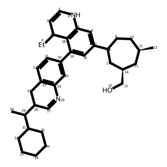 CCC1C=CNc2cc(C3CC[C@@H](C)C[C@@H](CO)C3)cc(-c3ccc4c(c3)N=CC(C(C)C3CCCCC3)C4)c21